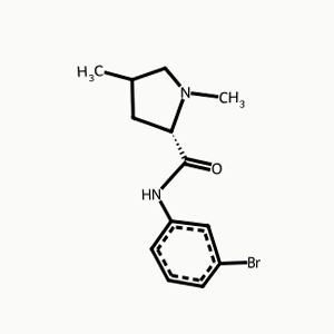 CC1C[C@@H](C(=O)Nc2cccc(Br)c2)N(C)C1